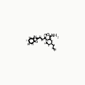 NC(=O)C1CC(CCF)CCN1C(=O)[CH]Cc1nc2ccccc2s1